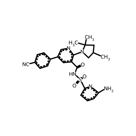 CC1CN(c2ncc(-c3ccc(C#N)cc3)cc2C(=O)NS(=O)(=O)c2cccc(N)n2)C(C)(C)C1